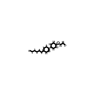 CCCCCCC1CCC([C@H]2CC[C@H](OCCC)CC2)CC1